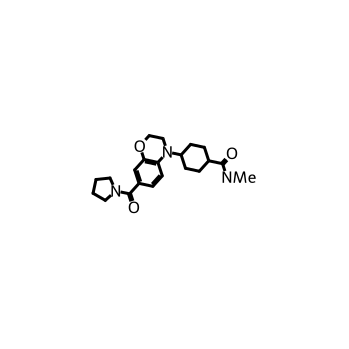 CNC(=O)C1CCC(N2CCOc3cc(C(=O)N4CCCC4)ccc32)CC1